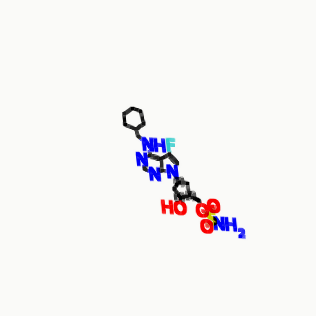 NS(=O)(=O)OC[C@@H]1C[C@@H](n2cc(F)c3c(NCC4CCCCC4)ncnc32)C[C@@H]1O